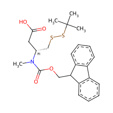 CN(C(=O)OCC1c2ccccc2-c2ccccc21)[C@@H](CSSC(C)(C)C)CC(=O)O